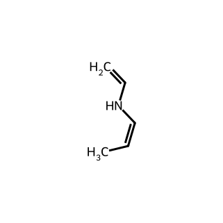 C=CN/C=C\C